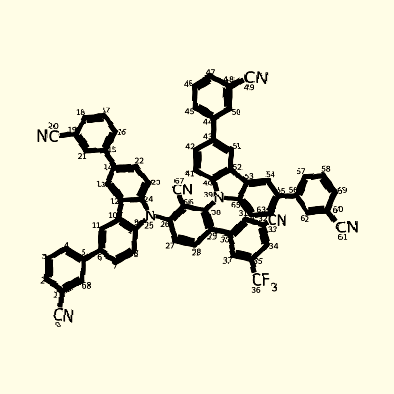 N#Cc1cccc(-c2ccc3c(c2)c2cc(-c4cccc(C#N)c4)ccc2n3-c2ccc(-c3cc(C#N)cc(C(F)(F)F)c3)c(-n3c4ccc(-c5cccc(C#N)c5)cc4c4cc(-c5cccc(C#N)c5)ccc43)c2C#N)c1